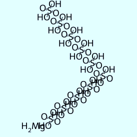 O=S(=O)(O)O.O=S(=O)(O)O.O=S(=O)(O)O.O=S(=O)(O)O.O=S(=O)(O)O.O=S(=O)(O)O.O=S(=O)(O)O.O=S(=O)(O)O.O=S(=O)(O)O.O=S(=O)(O)O.[MgH2]